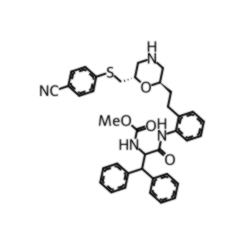 COC(=O)NC(C(=O)Nc1ccccc1CC[C@@H]1CNC[C@@H](CSc2ccc(C#N)cc2)O1)C(c1ccccc1)c1ccccc1